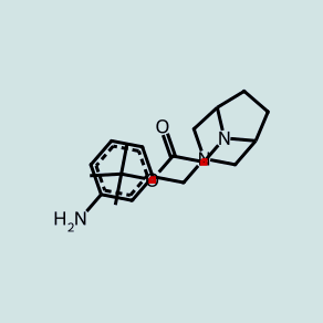 CC(C)(C)OC(=O)CN1C2CCC1CN(Cc1cccc(N)c1)C2